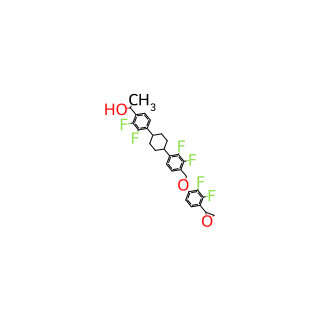 CC(O)c1ccc(C2CCC(c3ccc(COc4ccc(C5CO5)c(F)c4F)c(F)c3F)CC2)c(F)c1F